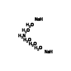 N.O.O.O.O.O.[NaH].[NaH]